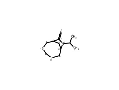 CC(C)N1C(=O)C2CSCSCC1C2